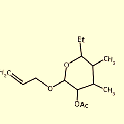 C=CCOC1OC(CC)C(C)C(C)C1OC(C)=O